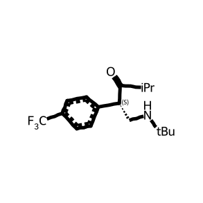 CC(C)C(=O)[C@H](CNC(C)(C)C)c1ccc(C(F)(F)F)cc1